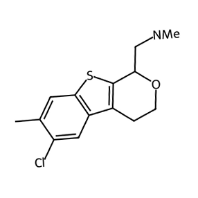 CNCC1OCCc2c1sc1cc(C)c(Cl)cc21